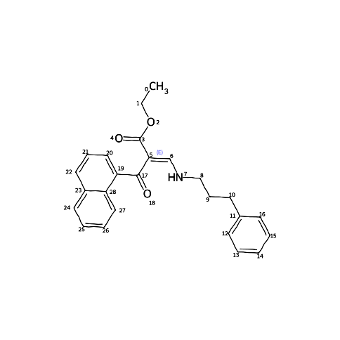 CCOC(=O)/C(=C/NCCCc1ccccc1)C(=O)c1cccc2ccccc12